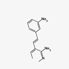 C/C=C(/C=C/c1cccc(N)c1)C(\N)=N/C